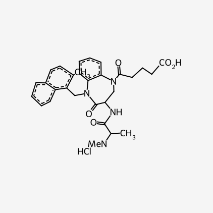 CNC(C)C(=O)NC1CN(C(=O)CCCC(=O)O)c2ccccc2N(Cc2c(C)ccc3ccccc23)C1=O.Cl